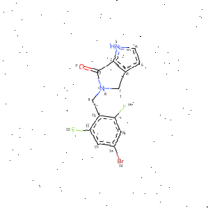 O=C1c2[nH]ccc2CN1Cc1c(F)cc(Br)cc1F